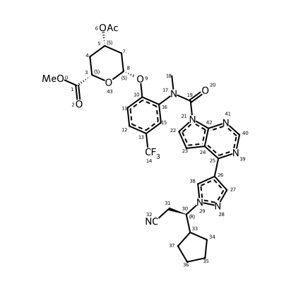 COC(=O)[C@@H]1C[C@H](OC(C)=O)C[C@H](Oc2ccc(C(F)(F)F)cc2N(C)C(=O)n2ccc3c(-c4cnn([C@H](CC#N)C5CCCC5)c4)ncnc32)O1